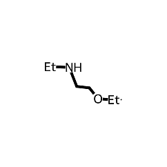 C[CH]OCCNCC